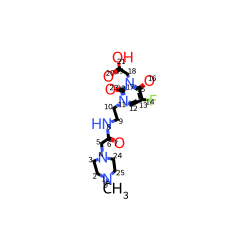 CN1CCN(CC(=O)NCCn2cc(F)c(=O)n(CC(=O)O)c2=O)CC1